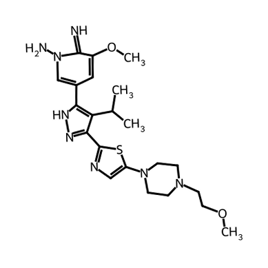 COCCN1CCN(c2cnc(-c3n[nH]c(-c4cc(OC)c(=N)n(N)c4)c3C(C)C)s2)CC1